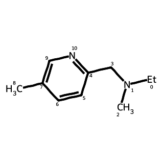 CCN(C)Cc1ccc(C)cn1